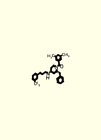 Cc1cc(C)cc(C(=O)N2CC[C@H](NCCCc3cccc(C(F)(F)F)c3)C[C@@H]2Cc2ccccc2)c1